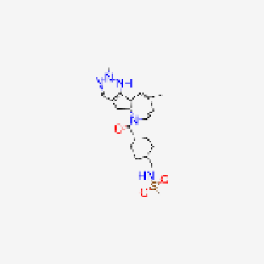 CC1=CC2=C(CC3=C2NN(C)N=C3)N(C(=O)C2CCC(CNS(C)(=O)=O)CC2)C=C1